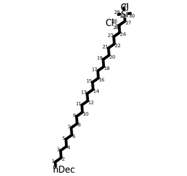 CCCCCCCCCCCCCCCCCCCCCCCCCCCCCCCCCC[C@H](Cl)C[Si](C)(C)Cl